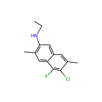 CCNc1cc2cc(C)c(Cl)c(F)c2cc1C